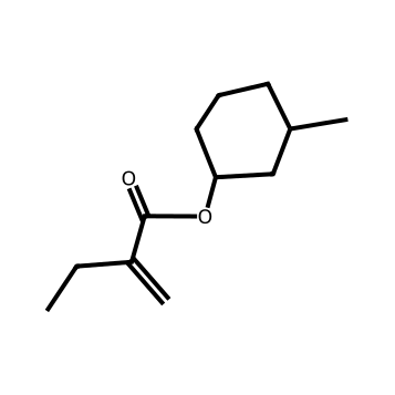 C=C(CC)C(=O)OC1CCCC(C)C1